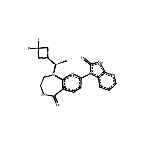 C[C@H](C1CC(F)(F)C1)N1CCNC(=O)c2ccc(-n3c(=O)[nH]c4ncccc43)nc21